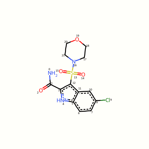 NC(=O)c1[nH]c2ccc(Cl)cc2c1S(=O)(=O)N1CCOCC1